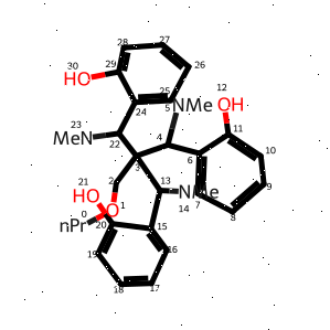 CCCOCC(C(NC)c1ccccc1O)(C(NC)c1ccccc1O)C(NC)c1ccccc1O